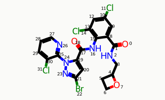 O=C(NCC1CCO1)c1cc(Cl)cc(Cl)c1NC(=O)c1cc(Br)nn1-c1ncccc1Cl